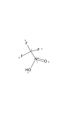 O=[N+](O)C(F)(F)F